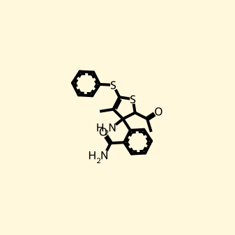 CC(=O)C1SC(Sc2ccccc2)=C(C)C1(N)c1ccccc1C(N)=O